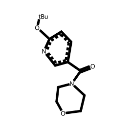 CC(C)(C)Oc1ccc(C(=O)N2CCOCC2)cn1